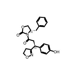 O=C(C[C@H](C1=NOCC1)c1ccc(O)cc1)N1C(=O)OC[C@@H]1Cc1ccccc1